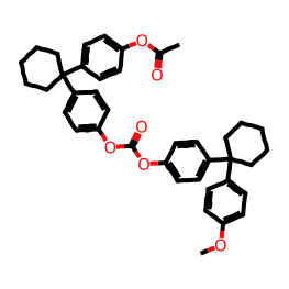 COc1ccc(C2(c3ccc(OC(=O)Oc4ccc(C5(c6ccc(OC(C)=O)cc6)CCCCC5)cc4)cc3)CCCCC2)cc1